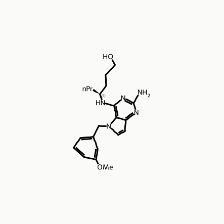 CCC[C@@H](CCCO)Nc1nc(N)nc2ccn(Cc3cccc(OC)c3)c12